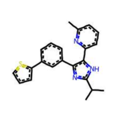 Cc1cccc(-c2[nH]c(C(C)C)nc2-c2cccc(-c3cccs3)c2)n1